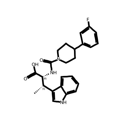 C[C@@H](c1c[nH]c2ccccc12)[C@@H](NC(=O)N1CCC(c2cccc(F)c2)CC1)C(=O)O